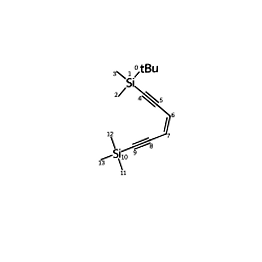 CC(C)(C)[Si](C)(C)C#C/C=C\C#C[Si](C)(C)C